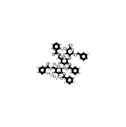 CCC1O[C@H](OCc2ccccc2)C(O[C@H]2OC(COC(=O)c3ccccc3)[C@@H](C)[C@H](O[C@H]3OC(COC(=O)c4ccccc4)[C@@H](C)[C@H](C)C3OC(=O)c3ccccc3)C2OC(=O)c2ccccc2)[C@@H](C)[C@@H]1C